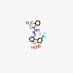 Cc1ccccc1C(=O)NN=Cc1ccccc1-c1cc(C(F)(F)F)ccc1S(=O)(=O)O